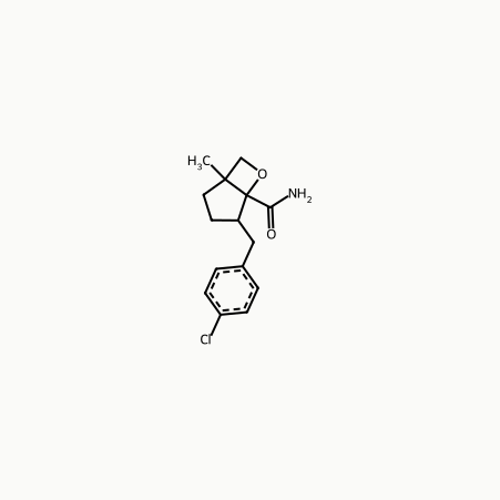 CC12CCC(Cc3ccc(Cl)cc3)C1(C(N)=O)OC2